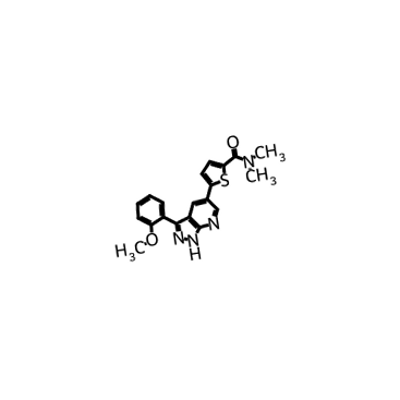 COc1ccccc1-c1n[nH]c2ncc(-c3ccc(C(=O)N(C)C)s3)cc12